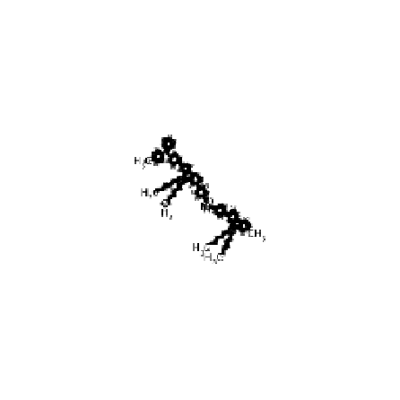 CCCCCCCCC1(CCCCCCCC)c2cc(C)ccc2-c2ccc(-c3ccc(-c4nnc(-c5ccc(-c6ccc7c(c6)C(CCCCCCCC)(CCCCCCCC)c6cc(-c8ccc(N(c9ccccc9)c9ccc(C)cc9)cc8)ccc6-7)cc5)o4)cc3)cc21